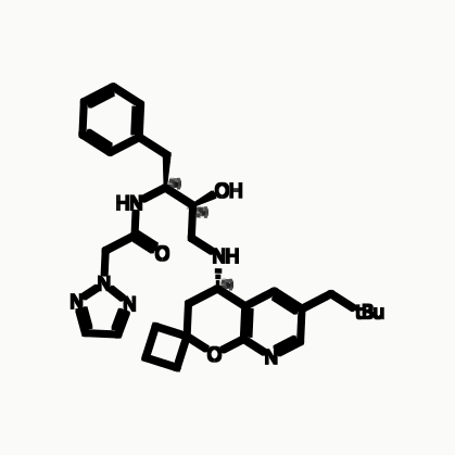 CC(C)(C)Cc1cnc2c(c1)[C@@H](NC[C@H](O)[C@H](Cc1ccccc1)NC(=O)Cn1nccn1)CC1(CCC1)O2